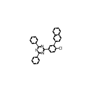 Clc1ccc(-c2nc(-c3ccccc3)nc(-c3ccccc3)n2)cc1-c1ccc2ccccc2c1